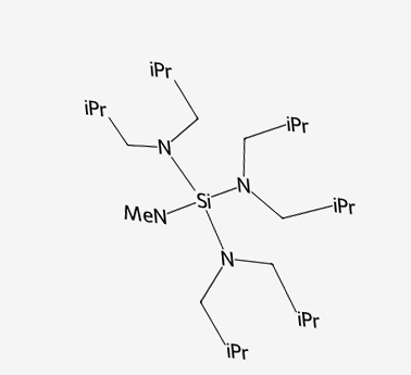 CN[Si](N(CC(C)C)CC(C)C)(N(CC(C)C)CC(C)C)N(CC(C)C)CC(C)C